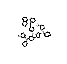 COc1cccc(N(c2ccccc2)c2ccc3c4ccc(N(c5ccccc5)c5cccc(OC)c5)cc4n(-c4ccc(N(c5ccccc5)c5cccc6ccccc56)cc4)c3c2)c1